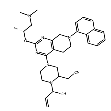 C=CC(O)N1CCN(c2nc(O[C@H](C)CN(C)C)nc3c2CCN(c2cccc4ccccc24)C3)CC1CC#N